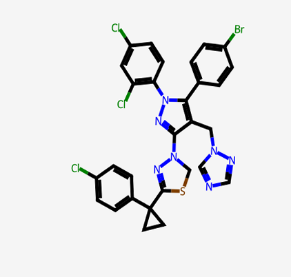 Clc1ccc(C2(C3=NN(c4nn(-c5ccc(Cl)cc5Cl)c(-c5ccc(Br)cc5)c4Cn4cncn4)CS3)CC2)cc1